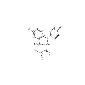 CCOC(=O)C(SC(c1ccc(Cl)cc1)c1ccc(Cl)cc1)C(=O)C(F)F